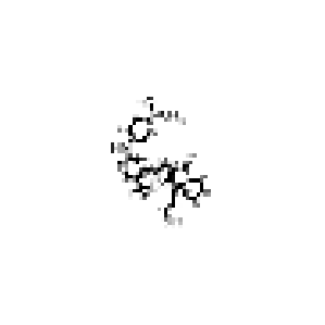 CN(O)N1CCC(Nc2ncc(C(F)(F)F)c(-c3cc4c(s3)C3(CCCO)CCCCN3C4=O)n2)CC1